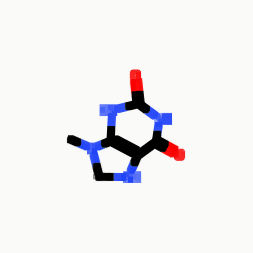 CN1[CH]Nc2c1[nH]c(=O)[nH]c2=O